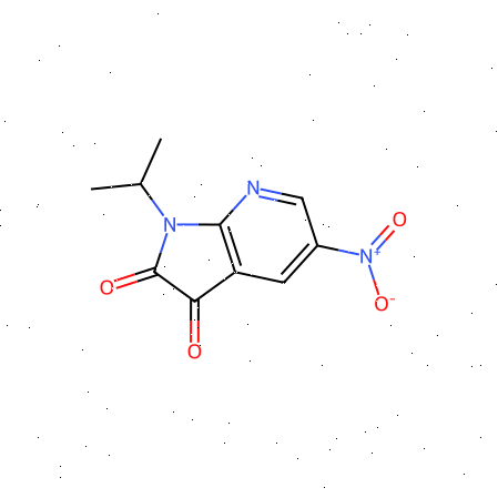 CC(C)N1C(=O)C(=O)c2cc([N+](=O)[O-])cnc21